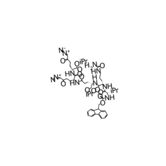 CC(C)OC(=O)[C@H](CCC(=O)C=[N+]=[N-])NC(=O)[C@H](CCC(=O)C=[N+]=[N-])NC(=O)CC[C@H](NC(=O)[C@H](CCCNC(N)=O)NC(=O)[C@@H](NC(=O)OCC1c2ccccc2-c2ccccc21)C(C)C)C(=O)OC(C)C